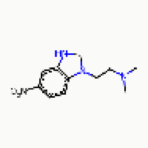 CN(C)CCN1[CH]Nc2cc([N+](=O)[O-])ccc21